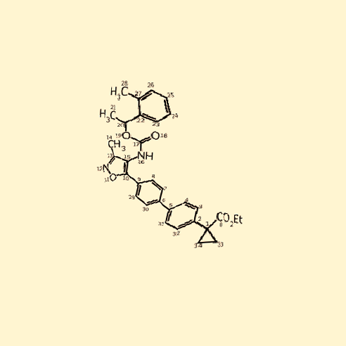 CCOC(=O)C1(c2ccc(-c3ccc(-c4onc(C)c4NC(=O)OC(C)c4ccccc4C)cc3)cc2)CC1